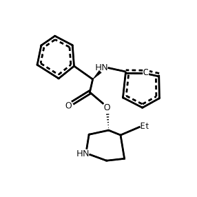 CCC1CCNC[C@@H]1OC(=O)[C@H](Nc1ccccc1)c1ccccc1